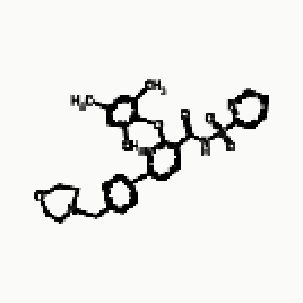 Cc1cc(C)c(Oc2nc(-c3ccc(CN4CCOCC4)cc3)ccc2C(=O)NS(=O)(=O)c2ccccn2)c(C)c1